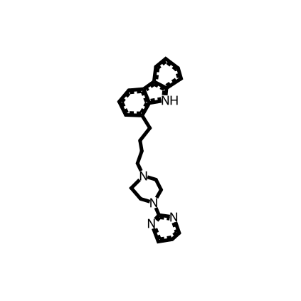 c1cnc(N2CCN(CCCCc3cccc4c3[nH]c3ccccc34)CC2)nc1